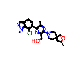 Cc1nc(N2CCC3(CC2)CO[C@@H](C)C3)c(CO)nc1-c1ccc2cnn(C)c2c1Cl